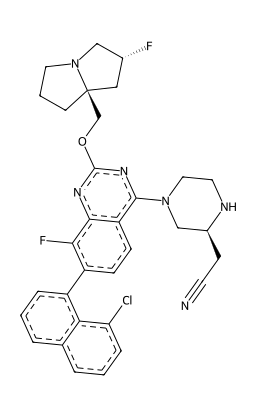 N#CC[C@H]1CN(c2nc(OC[C@@]34CCCN3C[C@H](F)C4)nc3c(F)c(-c4cccc5cccc(Cl)c45)ccc23)CCN1